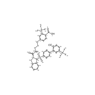 O=C(O)c1ccc(OCCNC(=O)[C@@H]2Cc3ccccc3N2S(=O)(=O)c2ccc(-c3cc(C(F)(F)F)ccc3Cl)cc2)cc1C(F)(F)F